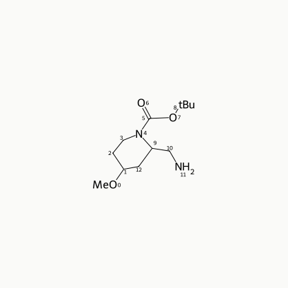 COC1CCN(C(=O)OC(C)(C)C)C(CN)C1